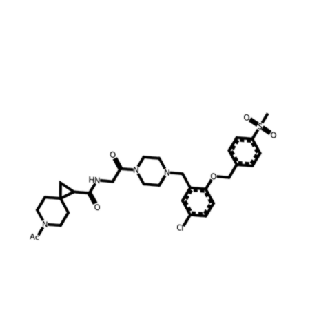 CC(=O)N1CCC2(CC1)CC2C(=O)NCC(=O)N1CCN(Cc2cc(Cl)ccc2OCc2ccc(S(C)(=O)=O)cc2)CC1